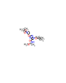 COC[C@H](C)NC(=O)c1cn(COCC[Si](C)(C)C)c2ncc(O[C@H]3CCCN(C(=O)OC(C)(C)C)C3)nc12